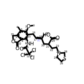 COc1c(C)c2c(c(NC(=O)C(Cl)(Cl)Cl)c1C/C=C(\C)CC(CCN1CCSC1)C(=O)O)C(=O)OC2